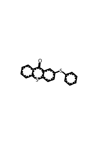 O=c1c2ccccc2sc2ccc(Sc3ccccc3)cc12